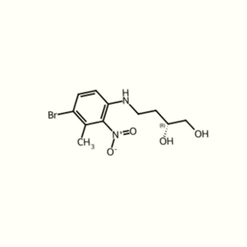 Cc1c(Br)ccc(NCC[C@@H](O)CO)c1[N+](=O)[O-]